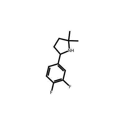 CC1(C)CCC(c2ccc(F)c(F)c2)N1